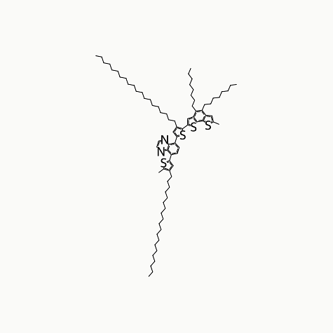 CCCCCCCCCCCCCCCCCCCCc1cc(-c2ccc(-c3cc(CCCCCCCCCCCCCCCCCCCC)c(-c4cc5c(CCCCCCCC)c(CCCCCCCC)c6cc(C)sc6c5s4)s3)c3nccnc23)sc1C